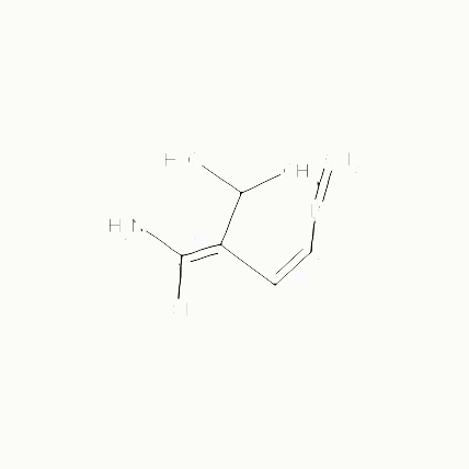 C=B/C=C\C(=C(/C)N)C(C)C